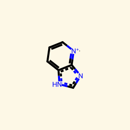 C1=C[N+]=c2nc[nH]c2=C1